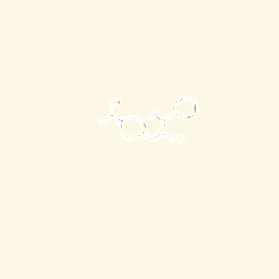 Nc1cc2c(nc1-c1ccccc1)CN(C(=O)O)CC2